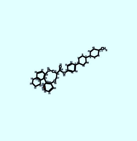 CC1CCC(C2CCC(c3ccc(OC(=O)C4COc5ccc6c(c5-c5c(ccc7c5CCCC7)OC4)CCCC6)cc3)CC2)CC1